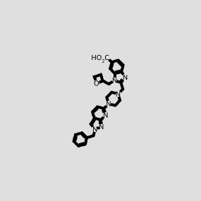 O=C(O)c1ccc2nc(CN3CCN(c4ccc5cn(Cc6ccccc6)nc5n4)CC3)n(CC3CCO3)c2c1